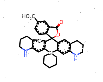 O=C(O)c1ccc2c(c1)C(=O)OC21c2cc3c(cc2[Si]2(CCCCC2)c2cc4c(cc21)CCCN4)NCCC3